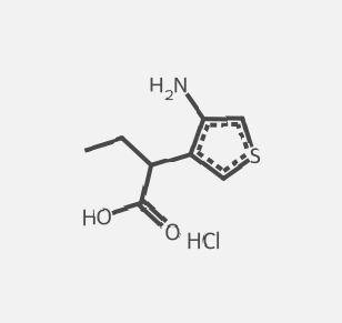 CCC(C(=O)O)c1cscc1N.Cl